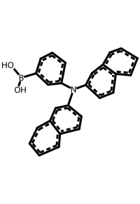 OB(O)c1cccc(N(c2ccc3ccccc3c2)c2ccc3ccccc3c2)c1